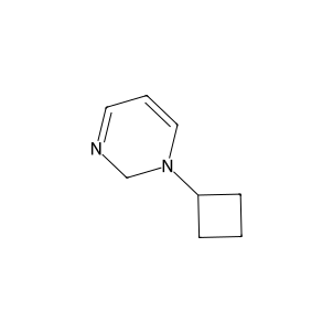 C1=CN(C2CCC2)CN=C1